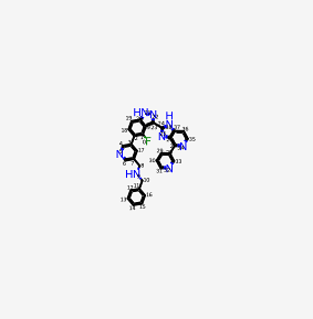 Fc1c(-c2cncc(CNCc3ccccc3)c2)ccc2[nH]nc(-c3nc4c(-c5cccnc5)nccc4[nH]3)c12